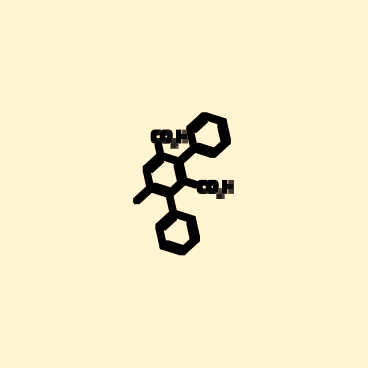 Cc1cc(C(=O)O)c(-c2ccccc2)c(C(=O)O)c1-c1ccccc1